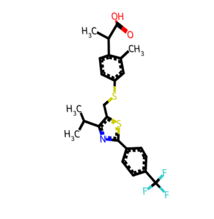 Cc1cc(SCc2sc(-c3ccc(C(F)(F)F)cc3)nc2C(C)C)ccc1C(C)C(=O)O